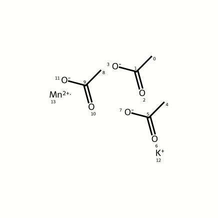 CC(=O)[O-].CC(=O)[O-].CC(=O)[O-].[K+].[Mn+2]